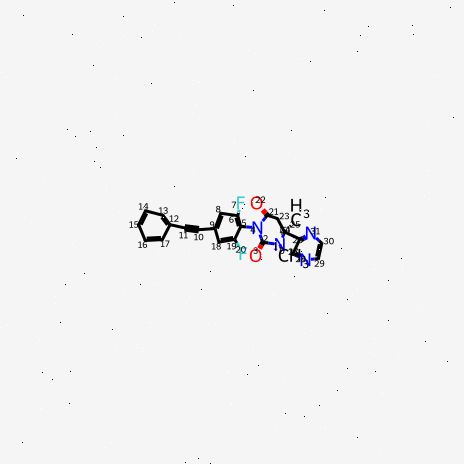 CN1C(=O)N(c2c(F)cc(C#Cc3ccccc3)cc2F)C(=O)C[C@@]1(C)c1cnccn1